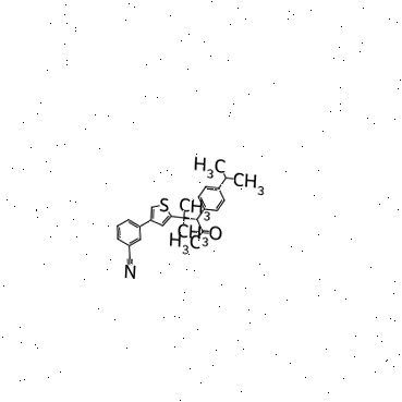 CC(=O)[C@H](c1ccc(C(C)C)cc1)C(C)(C)c1cc(-c2cccc(C#N)c2)cs1